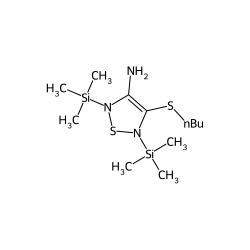 CCCCSC1=C(N)N([Si](C)(C)C)SN1[Si](C)(C)C